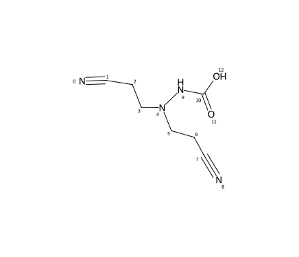 N#CCCN(CCC#N)NC(=O)O